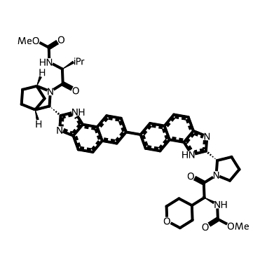 COC(=O)N[C@H](C(=O)N1[C@H]2CC[C@H](C2)[C@H]1c1nc2ccc3cc(-c4ccc5c(ccc6nc([C@@H]7CCCN7C(=O)[C@@H](NC(=O)OC)C7CCOCC7)[nH]c65)c4)ccc3c2[nH]1)C(C)C